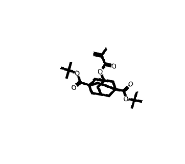 C=C(C)C(=O)OC12CC3CC(C(=O)OC(C)(C)C)(C1)CC(C(=O)OC(C)(C)C)(C3)C2